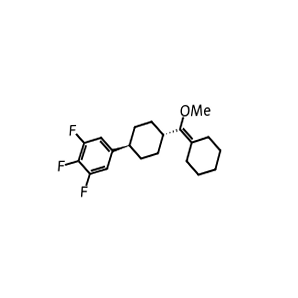 COC(=C1CCCCC1)[C@H]1CC[C@H](c2cc(F)c(F)c(F)c2)CC1